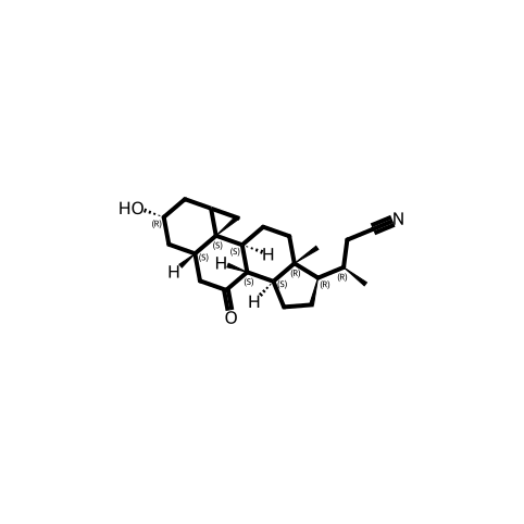 C[C@H](CC#N)[C@H]1CC[C@H]2[C@@H]3C(=O)C[C@@H]4C[C@H](O)CC5C[C@]54[C@H]3CC[C@]12C